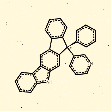 c1ccc([C@]2(c3cccnc3)c3ccccc3-c3cc4c(cc32)[nH]c2ccccc24)cc1